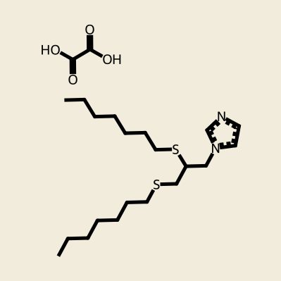 CCCCCCCSCC(Cn1ccnc1)SCCCCCCC.O=C(O)C(=O)O